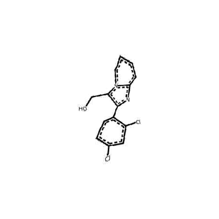 OCc1c(-c2ccc(Cl)cc2Cl)nc2ccccn12